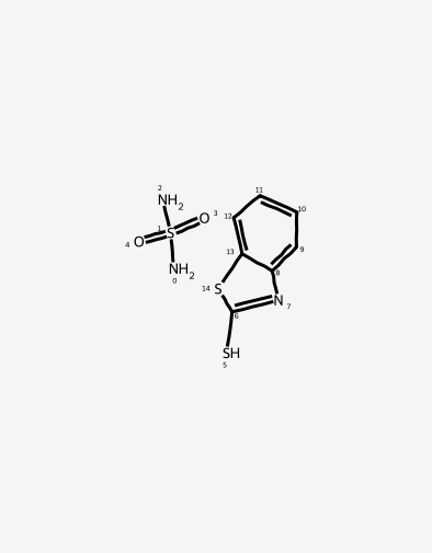 NS(N)(=O)=O.Sc1nc2ccccc2s1